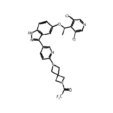 CC(Oc1ccc2[nH]nc(-c3ccc(N4CC5(CN(C(=O)C(F)(F)F)C5)C4)nc3)c2c1)c1c(Cl)cncc1Cl